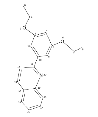 CCOc1cc(OCC)cc(-c2ccc3ccccc3n2)c1